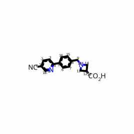 N#Cc1ccc(-c2ccc(CN3CC(C(=O)O)C3)cc2)nc1